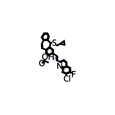 CC(=O)O.Fc1cc2ccc(/C=C/c3ccc4c(c3)C(SCC3CC3)c3ccccc3C=C4)nc2cc1Cl